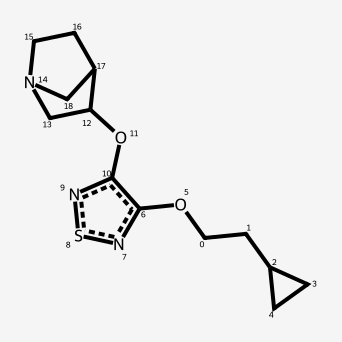 C(CC1CC1)Oc1nsnc1OC1CN2CCC1C2